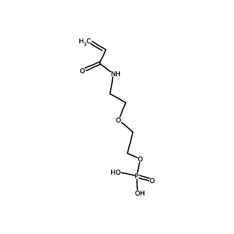 C=CC(=O)NCCOCCOP(=O)(O)O